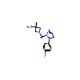 COC1(C)CN(C(=O)N2N=CCC2c2ccc(Cl)cc2)C1